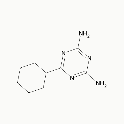 Nc1nc(N)nc(C2CCCCC2)n1